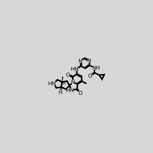 Cc1cc(Nc2cc(NC(=O)C3CC3)ncn2)c(=O)n2c1C(=O)NC21C[C@@H]2CNC[C@]2(C)C1